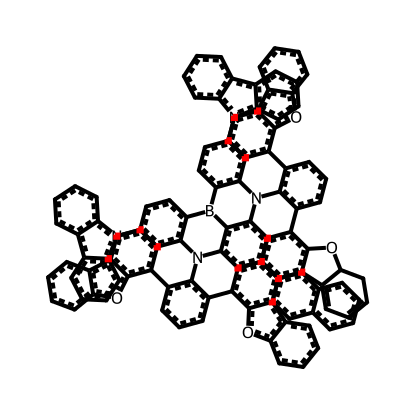 C1=CCC2Oc3c(cccc3-c3cccc(-c4cccc5c4oc4ccccc45)c3N3c4cc(-n5c6ccccc6c6ccccc65)ccc4B4c5ccc(-n6c7ccccc7c7ccccc76)cc5N(c5c(-c6cccc7c6oc6ccccc67)cccc5-c5cccc6c5oc5ccccc56)c5cc(-c6ccc7ccccc7c6)cc3c54)C2=C1